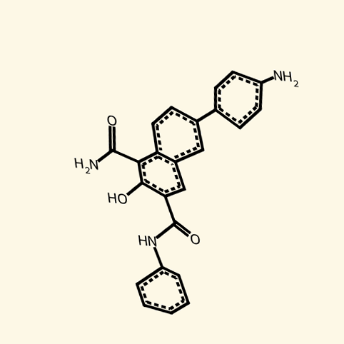 NC(=O)c1c(O)c(C(=O)Nc2ccccc2)cc2cc(-c3ccc(N)cc3)ccc12